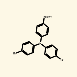 CCCCCCCc1ccc(N(c2ccc(Br)cc2)c2ccc(Br)cc2)cc1